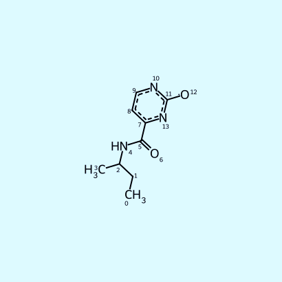 CCC(C)NC(=O)c1ccnc([O])n1